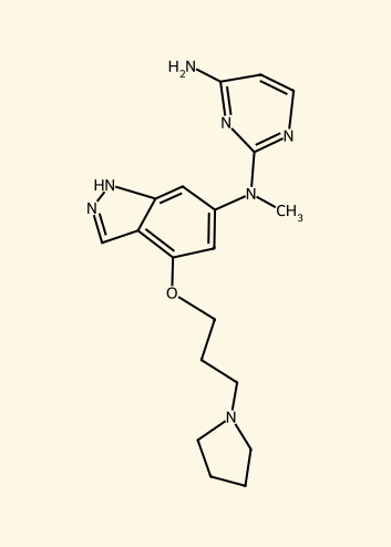 CN(c1cc(OCCCN2CCCC2)c2cn[nH]c2c1)c1nccc(N)n1